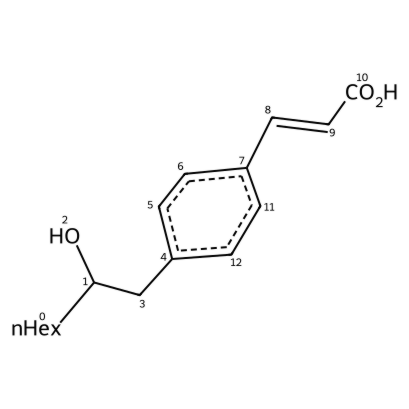 CCCCCCC(O)Cc1ccc(/C=C/C(=O)O)cc1